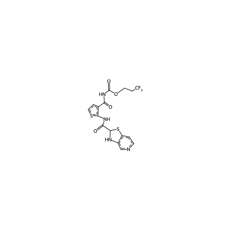 O=C(NC(=O)c1ccsc1NC(=O)C1Nc2cnccc2S1)OCCC(F)(F)F